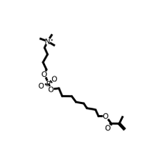 C=C(C)C(=O)OCCCCCCCCOP(=O)([O-])OCCCC[N+](C)(C)C